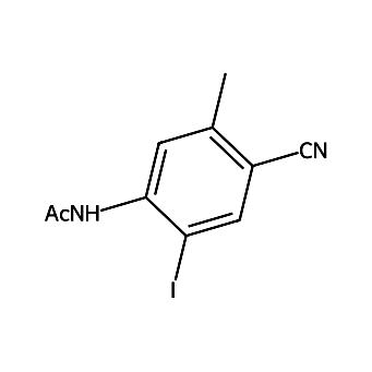 CC(=O)Nc1cc(C)c(C#N)cc1I